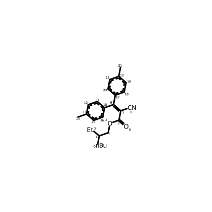 CCCCC(CC)COC(=O)C(C#N)=C(c1ccc(C)cc1)c1ccc(C)cc1